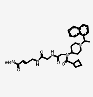 CNC(=O)C=CCNC(=O)CNC(=O)CN(C(=O)C1CCC1)C1CCN(C(C)c2cccc3ccccc23)CC1